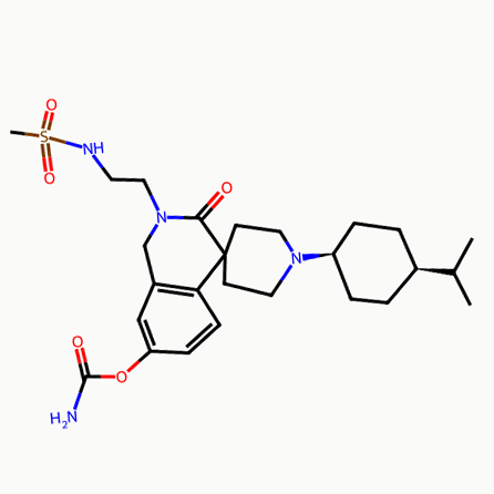 CC(C)[C@H]1CC[C@@H](N2CCC3(CC2)C(=O)N(CCNS(C)(=O)=O)Cc2cc(OC(N)=O)ccc23)CC1